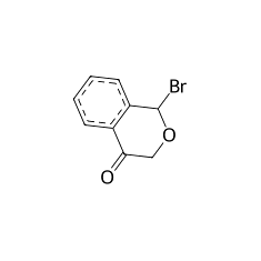 O=C1COC(Br)c2ccccc21